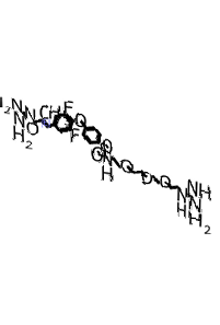 C/C(=C\c1cc(F)c(Oc2ccc(S(=O)(=O)NCCOCCOCCOCCNC(N)N)cc2)c(F)c1)C(=O)N=C(N)N